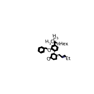 CC/C=C/C[C@H]1CCC(=O)C[C@@H]1c1ccc(C(C)(C)CCCCCC)cc1OCc1ccccc1